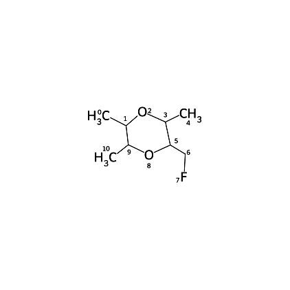 CC1OC(C)C(CF)OC1C